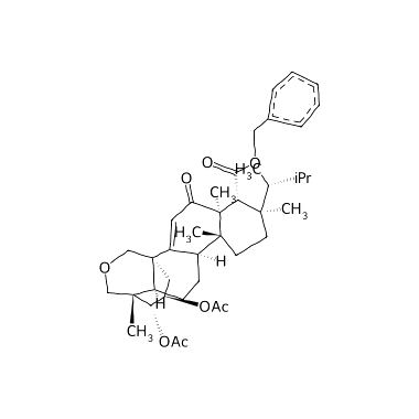 CC(=O)O[C@@H]1C[C@@]23COC[C@](C)([C@@H]2CC[C@H]2C3=CC(=O)[C@@]3(C)[C@H](C(=O)OCc4ccccc4)[C@@](C)([C@H](C)C(C)C)CC[C@]23C)[C@H]1OC(C)=O